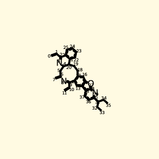 C=CC1=NC2CC(=C)/N=C(/C=C)c3cc4c(cc3CCC2c2ccccc21)oc1nc(C(CC)CC)ccc14